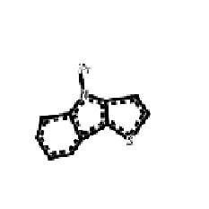 CC(C)n1c2ccccc2c2sccc21